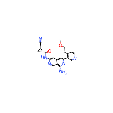 COCCc1ccncc1-c1cc2cc(NC(=O)[C@@H]3C[C@H]3C#N)ncc2c(N)n1